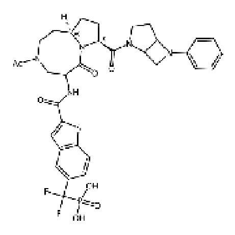 CC(=O)N1CC[C@H]2CC[C@@H](C(=O)N3CCC4C3CN4c3ccccc3)N2C(=O)C(NC(=O)c2cc3cc(C(F)(F)P(=O)(O)O)ccc3s2)C1